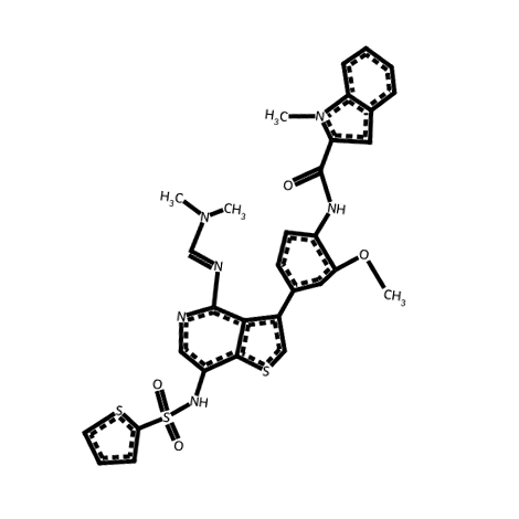 COc1cc(-c2csc3c(NS(=O)(=O)c4cccs4)cnc(N=CN(C)C)c23)ccc1NC(=O)c1cc2ccccc2n1C